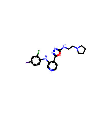 Fc1cc(I)ccc1Nc1cnccc1-c1nnc(NCCN2CCCC2)o1